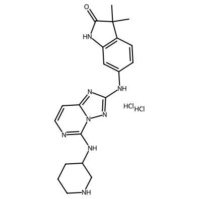 CC1(C)C(=O)Nc2cc(Nc3nc4ccnc(NC5CCCNC5)n4n3)ccc21.Cl.Cl